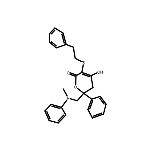 CN(CC1(c2ccccc2)CC(O)=C(SCCc2ccccc2)C(=O)O1)c1ccccc1